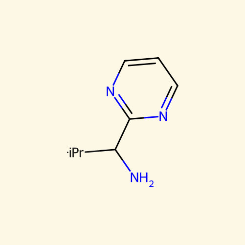 C[C](C)C(N)c1ncccn1